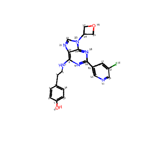 Oc1ccc(CCNc2nc(-c3cncc(F)c3)nc3c2ncn3C2COC2)cc1